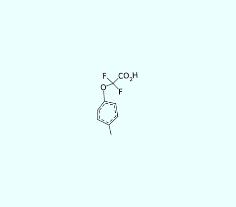 Cc1ccc(OC(F)(F)C(=O)O)cc1